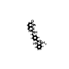 Cn1c(=O)ccc2cnc(NCc3ccc(C(=O)Nc4ccccc4N)cc3)nc21